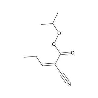 CCC=C(C#N)C(=O)OOC(C)C